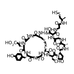 CC(=O)N[C@H]1CSSC[C@@H](C(=O)N[C@@H](CC=O)C(=O)N2CCC[C@H]2C(=O)N[C@@H](C)C(=O)N[C@@H](C)C(=O)N[C@H](C(=O)NCC(=O)N[C@H](C)CSS)[C@H](C)O)NC(=O)[C@H](C)NC(=O)[C@H](Cc2ccc(O)cc2)NC(=O)[C@H](CCC(=O)O)NC(=O)[C@H](C)NC1=O